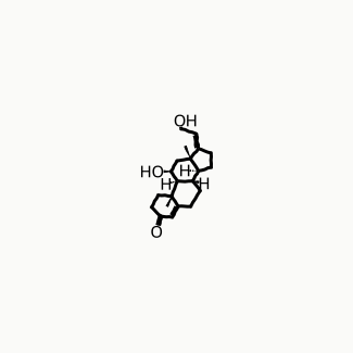 C[C@]12CCC(=O)C=C1CC[C@@H]1[C@@H]2[C@@H](O)C[C@]2(C)/C(=C\CO)CC[C@@H]12